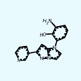 Nc1cccc(-n2ccn3nc(-c4cccnc4)cc23)c1O